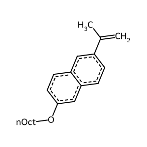 C=C(C)c1ccc2cc(OCCCCCCCC)ccc2c1